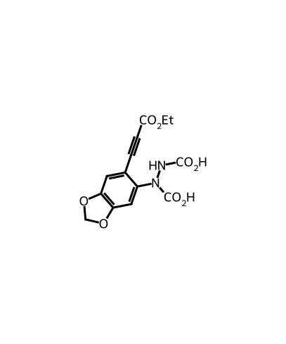 CCOC(=O)C#Cc1cc2c(cc1N(NC(=O)O)C(=O)O)OCO2